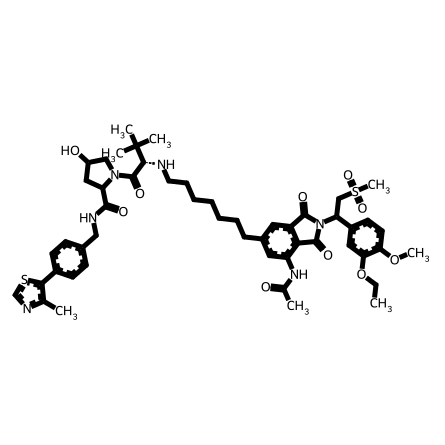 CCOc1cc(C(CS(C)(=O)=O)N2C(=O)c3cc(CCCCCCCN[C@H](C(=O)N4CC(O)CC4C(=O)NCc4ccc(-c5scnc5C)cc4)C(C)(C)C)cc(NC(C)=O)c3C2=O)ccc1OC